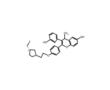 CC1C(c2cccc(O)c2)=C(c2ccc(OCCN3CC[C@H](CF)C3)cc2)Oc2ccc(O)cc21